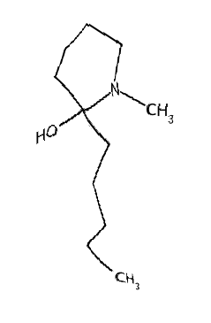 CCCCCC1(O)CCCCN1C